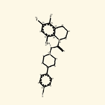 C=C(CN1CCC(c2ccc(F)cc2)CC1)N1CCCc2c(F)c(F)cc(N)c21